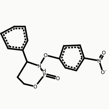 O=[N+]([O-])c1ccc(ON2C(c3ccccc3)CCO[PH]2=O)cc1